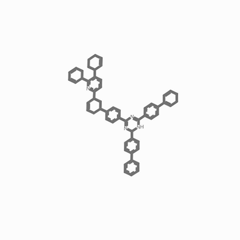 C1=CCC(c2nc(C3C=CCC(c4ccc(C5=NC(c6ccc(-c7ccccc7)cc6)NC(c6ccc(C7=CCCC=C7)cc6)=N5)cc4)C3)ccc2C2C=CCCC2)C=C1